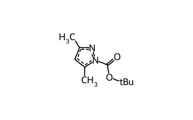 Cc1cc(C)n(C(=O)OC(C)(C)C)n1